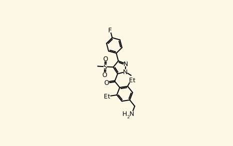 CCc1cc(CN)cc(CC)c1C(=O)c1c(S(C)(=O)=O)c(-c2ccc(F)cc2)nn1C